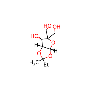 CCC1(C)O[C@H]2OC(CO)(CO)[C@H](O)[C@H]2O1